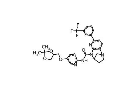 CC1(C)OCC(COc2cnc(NC(=O)N3c4nc(-c5cccc(C(F)(F)F)c5)ncc4N4CCC3C4)nc2)O1